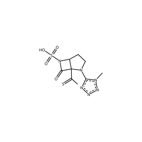 CC(=S)C12C(=O)N(S(=O)(=O)O)C1CCN2c1nnnn1C